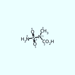 CN(C(=O)O)S(N)(=O)=O